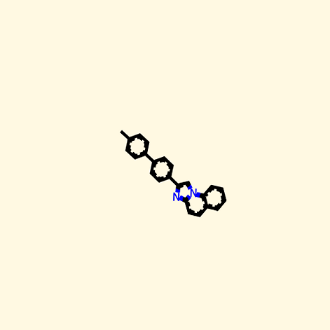 Cc1ccc(-c2ccc(-c3cn4c(ccc5ccccc54)n3)cc2)cc1